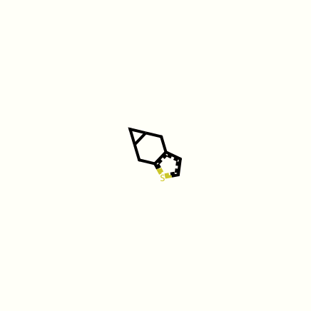 c1cc2c(s1)CC1CC1C2